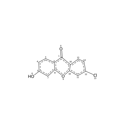 O=c1c2ccc(O)cc2oc2cc(Cl)ccc12